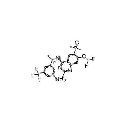 Cc1nc(N[C@H](C)c2cc(N)cc(C(F)(F)F)c2)c2cc(P(C)(C)=O)c(OC(F)F)cc2n1